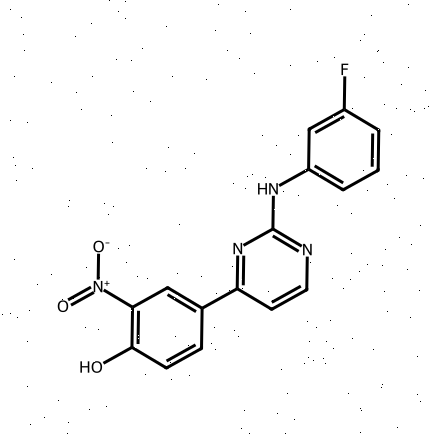 O=[N+]([O-])c1cc(-c2ccnc(Nc3cccc(F)c3)n2)ccc1O